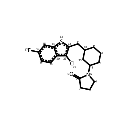 O=C1CCCN1C1CCCC(Cc2sc3cc(F)ccc3c2Cl)C1